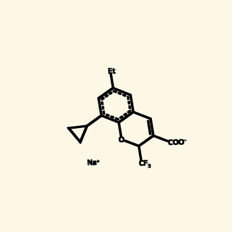 CCc1cc2c(c(C3CC3)c1)OC(C(F)(F)F)C(C(=O)[O-])=C2.[Na+]